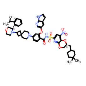 CC(C)c1ccccc1[C@@H]1COCCN1C1CC2(CCN(c3ccc(C(=O)NS(=O)(=O)c4cc([N+](=O)[O-])c5c(n4)OC[C@H](CC4CCC(C)(C)CC4)O5)c(Oc4cnc5[nH]ccc5c4)c3)CC2)C1